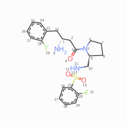 N[C@@H](CC(=O)N1CCC[C@H]1CNS(=O)(=O)c1ccccc1F)Cc1ccccc1F